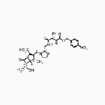 CC(C)[C@H](NC(=O)OCc1ccc([N+](=O)[O-])cc1)C(=O)NC[C@H]1OCC[C@H]1SC1=C(C(=O)O)N2C(=O)[C@H]([C@@H](C)O)[C@H]2[C@H]1C